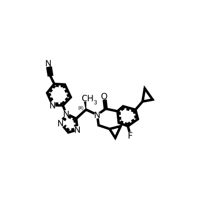 C[C@H](c1ncnn1-c1ccc(C#N)cn1)N(CC1CC1)C(=O)c1cc(F)cc(C2CC2)c1